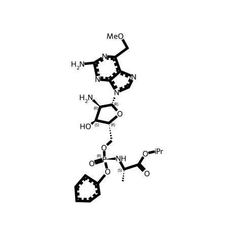 COCc1nc(N)nc2c1ncn2[C@@H]1O[C@H](CO[P@](=O)(N[C@@H](C)C(=O)OC(C)C)Oc2ccccc2)[C@@H](O)[C@H]1N